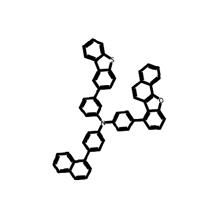 c1cc(-c2ccc3sc4ccccc4c3c2)cc(N(c2ccc(-c3cccc4ccccc34)cc2)c2ccc(-c3cccc4oc5c6ccccc6ccc5c34)cc2)c1